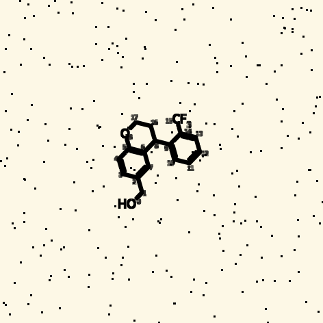 OCc1ccc2c(c1)C(c1ccccc1C(F)(F)F)CCO2